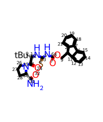 CC(C)(C)[C@H](NC(=S)NC(=O)OCC1c2ccccc2-c2ccccc21)C(=O)N1CCC[C@H]1C(N)=O